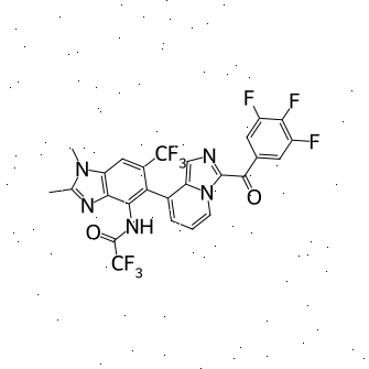 Cc1nc2c(NC(=O)C(F)(F)F)c(-c3cccn4c(C(=O)c5cc(F)c(F)c(F)c5)ncc34)c(C(F)(F)F)cc2n1C